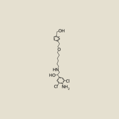 Nc1c(Cl)cc(C(O)CNCCCCCCOCCc2ccc(CO)s2)cc1Cl